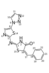 O=C1NC(=Nc2ncc(-n3ccnn3)s2)SC1=Cc1ccccc1